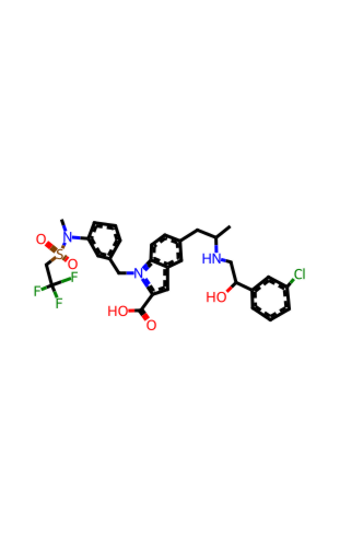 CC(Cc1ccc2c(c1)cc(C(=O)O)n2Cc1cccc(N(C)S(=O)(=O)CC(F)(F)F)c1)NCC(O)c1cccc(Cl)c1